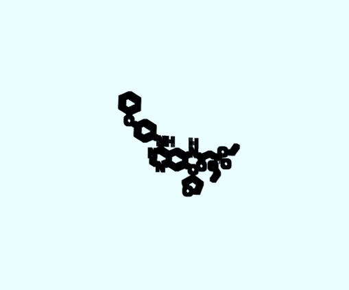 CCOP(=O)(CC(=O)Nc1cc2c(Nc3ccc(Oc4ccccc4)cc3)ncnc2cc1O[C@H]1CCOC1)OCC